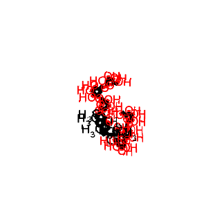 CC(CCC(OC1OC(COC2OC(CO)C(O)C(O)C2O)C(O)C(O)C1OC1OC(CO)C(O)C(O)C1O)C(C)(C)O)C1CCC2(C)C3CC=C4C(CCC(OC5OC(COC6CC(COC7OC(CO)C(O)C(O)C7O)C(O)C(O)C6O)C(O)C(O)C5O)C4(C)C)C3(C)C(=O)CC12C